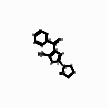 Cc1oc([C@@H]2CCCN2)nc1C(=O)c1ccccc1